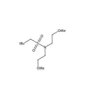 COCCN(CCOC)S(=O)(=O)CC(C)(C)C